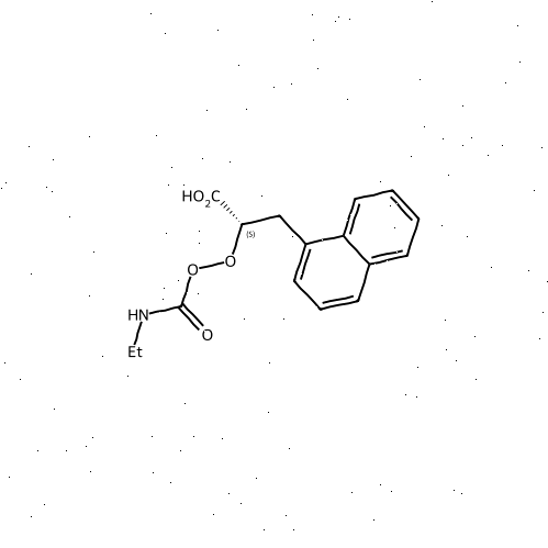 CCNC(=O)OO[C@@H](Cc1cccc2ccccc12)C(=O)O